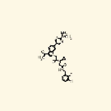 CC(=O)c1cn(CC(=O)N(CC(=O)NCc2cccc(Cl)c2F)C2CC2)c2cc(-c3cnc(N(C)C)nc3)ccc12